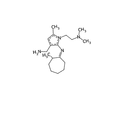 Cc1cc(CN)c(/N=C2/CCCCCC2C)n1CCN(C)C